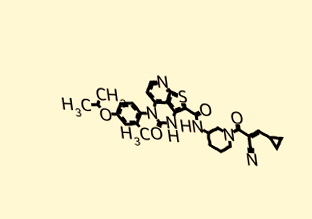 Cc1cc(OC(C)C)ccc1N1C(=O)Nc2c(C(=O)NC3CCCN(C(=O)C(C#N)=CC4CC4)C3)sc3nccc1c23